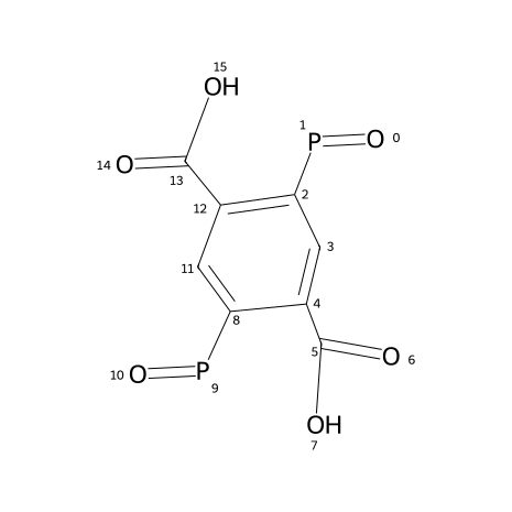 O=Pc1cc(C(=O)O)c(P=O)cc1C(=O)O